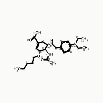 CCCCCO[C@@H]1C=C(C(=O)O)C[C@H](NCc2ccc(N(CC)CC)cc2)[C@H]1NC(C)=O